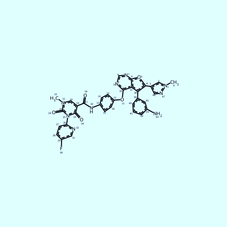 Cn1cc(-c2oc3ncnc(Oc4ccc(NC(=O)c5cn(C)c(=O)n(-c6ccc(F)cn6)c5=O)cc4)c3c2-c2cccc(N)c2)cn1